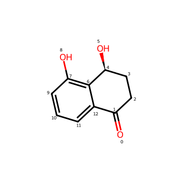 O=C1CC[C@H](O)c2c(O)cccc21